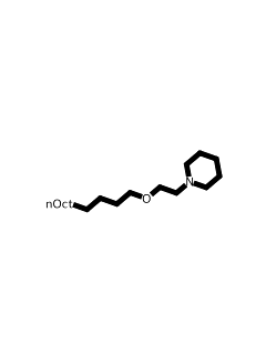 CCCCCCCCCCCCOCCN1CCCCC1